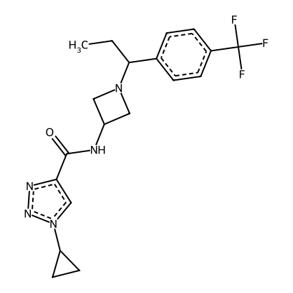 CCC(c1ccc(C(F)(F)F)cc1)N1CC(NC(=O)c2cn(C3CC3)nn2)C1